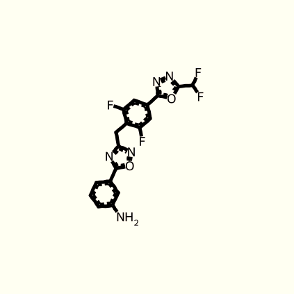 Nc1cccc(-c2nc(Cc3c(F)cc(-c4nnc(C(F)F)o4)cc3F)no2)c1